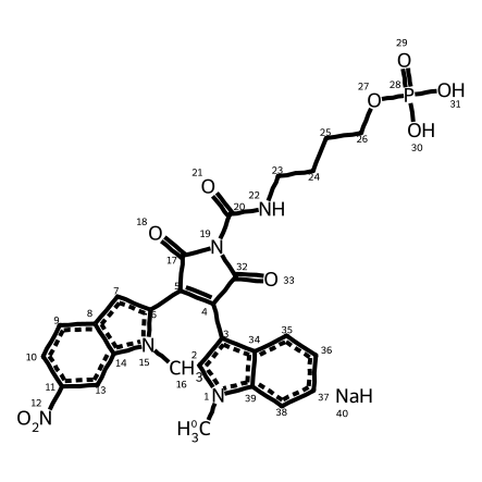 Cn1cc(C2=C(c3cc4ccc([N+](=O)[O-])cc4n3C)C(=O)N(C(=O)NCCCCOP(=O)(O)O)C2=O)c2ccccc21.[NaH]